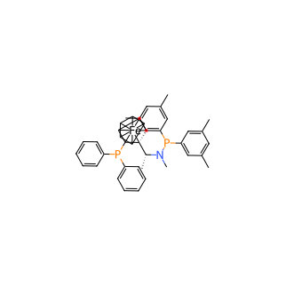 Cc1cc(C)cc(P(c2cc(C)cc(C)c2)N(C)[C@H](C)[C@@]23[CH]4[CH]5[CH]6[C]2(P(c2ccccc2)c2ccccc2)[Fe]56432789[CH]3[CH]2[CH]7[CH]8[CH]39)c1